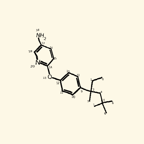 CCC(C)(CC(C)(C)C)c1ccc(Oc2ccc(N)cn2)cc1